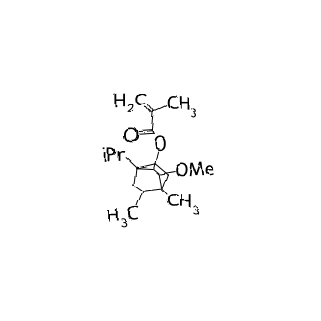 C=C(C)C(=O)OC1C(OC)C2(C)CCC1(C(C)C)CC2C